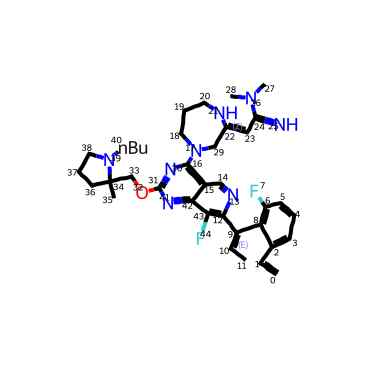 C=Cc1cccc(F)c1/C(=C\C)c1ncc2c(N3CCCN/C(=C\C(=N)N(C)C)C3)nc(OCC3(C)CCCN3CCCC)nc2c1F